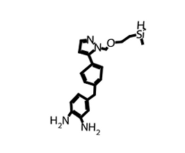 C[SiH](C)CCOCn1nccc1-c1ccc(Cc2ccc(N)c(N)c2)cc1